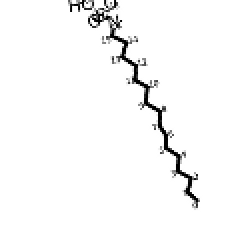 CCCCCCCCCCCCCCCC[N]S(=O)(=O)O